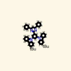 CC(C)(C)c1ccc2c(c1)c1ccccc1n2-c1cc(-c2nc(-c3ccccc3)cc(-c3ccccc3)n2)cc(-n2c3ccccc3c3cc(C(C)(C)C)ccc32)c1